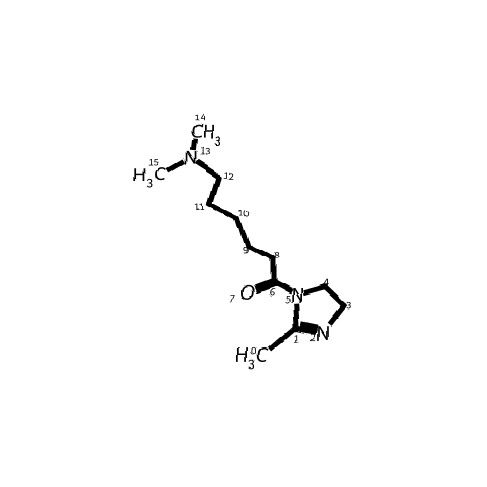 CC1=NCCN1C(=O)CCCCCN(C)C